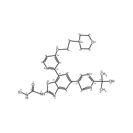 CCNC(=O)Nc1nc2cc(-c3cnc(C(C)(C)O)nc3)cc(-c3cc(OCCN4CCOCC4)ccn3)c2s1